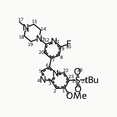 COc1cc2ncc(-c3cc(F)nc(N4CCN(C)CC4)c3)n2cc1S(=O)(=O)C(C)(C)C